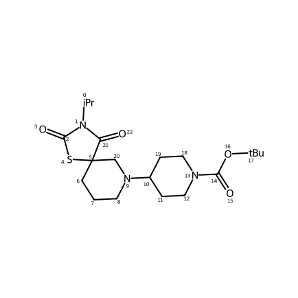 CC(C)N1C(=O)SC2(CCCN(C3CCN(C(=O)OC(C)(C)C)CC3)C2)C1=O